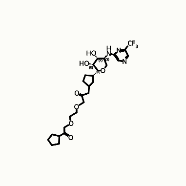 O=C(COCCOCC(=O)C1CCCC1)CC1CCC([C@H]2OC[C@H](Nc3cncc(C(F)(F)F)n3)[C@@H](O)[C@H]2O)C1